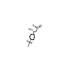 O=[N+]([O-])CC(O)c1ccc(C(F)(F)F)cc1